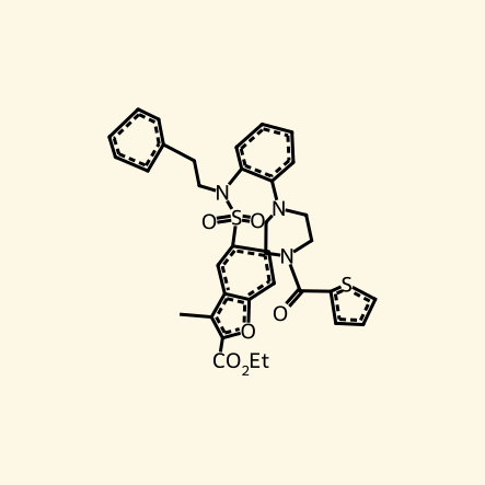 CCOC(=O)c1oc2ccc(S(=O)(=O)N(CCc3ccccc3)c3ccccc3N3CCN(C(=O)c4cccs4)CC3)cc2c1C